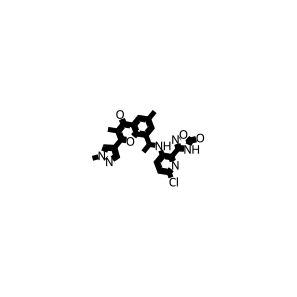 Cc1cc(C(C)Nc2ccc(Cl)nc2-c2noc(=O)[nH]2)c2oc(-c3cnn(C)c3)c(C)c(=O)c2c1